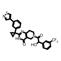 O=C(C(O)c1cccc(C(F)(F)F)c1)N1CCc2nc(C3(c4cccc(-c5cnsc5)c4)CC3)[nH]c(=O)c2C1